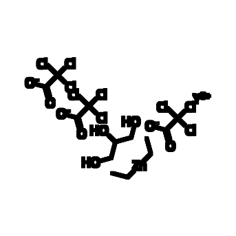 C[CH2][Zn][CH2]C.O=C([O-])C(Cl)(Cl)Cl.O=C([O-])C(Cl)(Cl)Cl.O=C([O-])C(Cl)(Cl)Cl.OCC(O)CO.[Y+3]